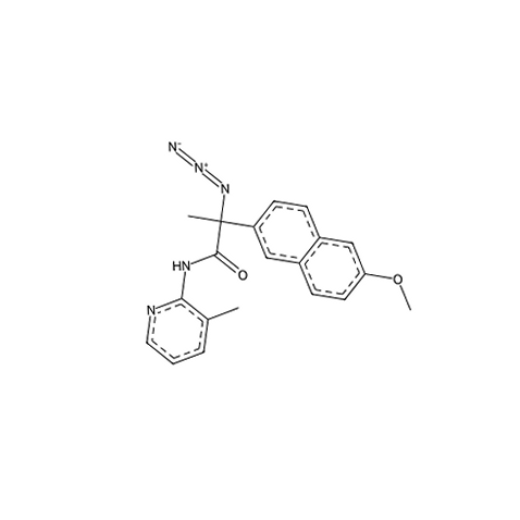 COc1ccc2cc(C(C)(N=[N+]=[N-])C(=O)Nc3ncccc3C)ccc2c1